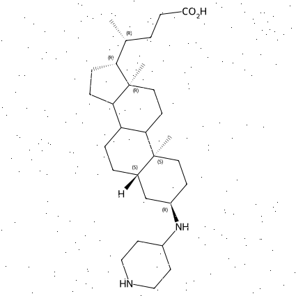 C[C@H](CCC(=O)O)[C@H]1CCC2C3CC[C@H]4C[C@H](NC5CCNCC5)CC[C@]4(C)C3CC[C@@]21C